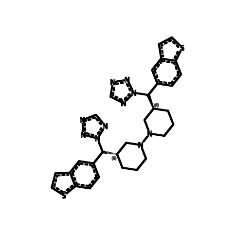 c1nnn(C(c2ccc3sccc3c2)[C@H]2CCCN(N3CCC[C@H](C(c4ccc5sccc5c4)n4ncnn4)C3)C2)n1